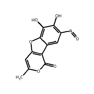 Cc1cc2oc3c(O)c(O)c(N=O)cc3c2c(=O)o1